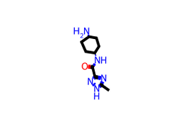 Cc1nc(C(=O)N[C@H]2CC[C@H](N)CC2)n[nH]1